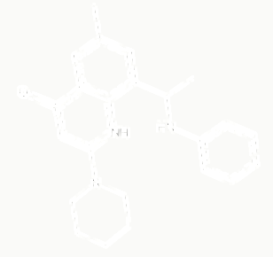 Cc1cc(C(C)Nc2ccccc2)c2[nH]c(N3CCCCC3)cc(=O)c2c1